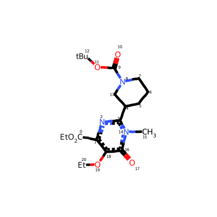 CCOC(=O)c1nc(C2CCCN(C(=O)OC(C)(C)C)C2)n(C)c(=O)c1OCC